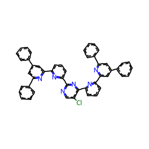 Clc1cnc(-c2cccc(-c3cc(-c4ccccc4)cc(-c4ccccc4)n3)n2)nc1-c1cccc(-c2cc(-c3ccccc3)cc(-c3ccccc3)n2)n1